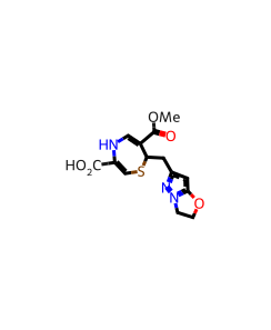 COC(=O)C1=CNC(C(=O)O)=CSC1Cc1cc2n(n1)CCO2